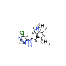 Cc1ccc2c(ccn2C)c1CCNc1cc(Cl)ncn1